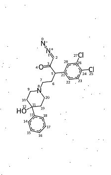 [N-]=[N+]=CC(=O)C(CCN1CCC(O)(c2ccccc2)CC1)c1ccc(Cl)c(Cl)c1